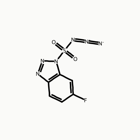 [N-]=[N+]=NS(=O)(=O)n1nnc2ccc(F)cc21